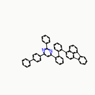 c1ccc(-c2ccc(-c3cc(-c4ccccc4-c4ccccc4-c4ccc5c6c(cccc46)-c4ccccc4-5)nc(-c4ccccc4)n3)cc2)cc1